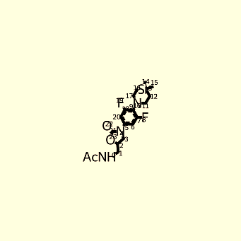 CC(=O)NCC1CN(c2cc(F)c(N3CC[Si](C)(C)CC3)c(F)c2)C(=O)O1